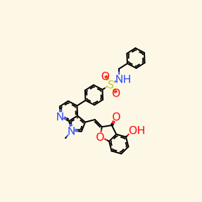 Cn1cc(C=C2Oc3cccc(O)c3C2=O)c2c(-c3ccc(S(=O)(=O)NCc4ccccc4)cc3)ccnc21